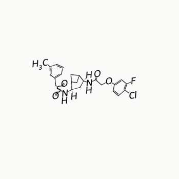 Cc1cccc(CS(=O)(=O)N[C@@H]2C[C@H](NC(=O)COc3ccc(Cl)c(F)c3)C3CC2C3)c1